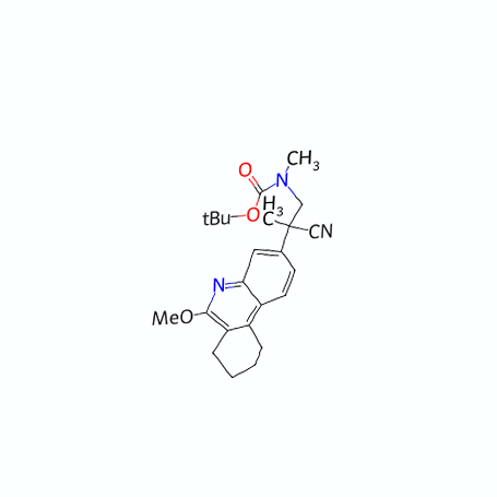 COc1nc2cc(C(C)(C#N)CN(C)C(=O)OC(C)(C)C)ccc2c2c1CCCC2